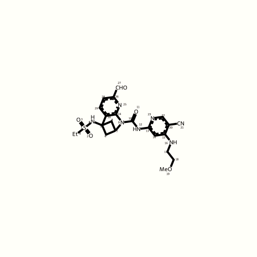 CCS(=O)(=O)NC12CC(C1)N(C(=O)Nc1cc(NCCOC)c(C#N)cn1)c1nc(C=O)ccc12